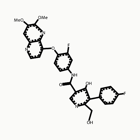 COc1cc2nccc(Oc3ccc(NC(=O)c4cnc(CO)c(-c5ccc(F)cc5)c4O)cc3F)c2nc1OC